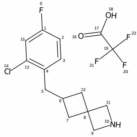 Fc1ccc(CC2CC3(CNC3)C2)c(Cl)c1.O=C(O)C(F)(F)F